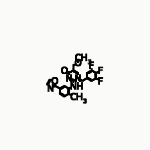 COCc1cn(Cc2cc(F)c(F)c(F)c2)c(Nc2cc(-c3ncco3)ccc2C)nc1=O